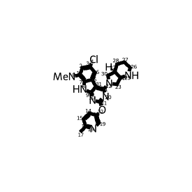 CNc1cc(Cl)cc2c1[nH]c1nc(Oc3ccc(C)nc3)nc(N3CC4NCCC[C@@H]4C3)c12